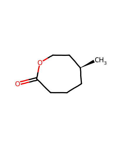 C[C@H]1CCCC(=O)OCC1